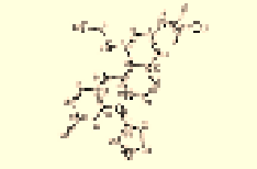 CS(C)(=O)=Nc1cc(SCF)c2c(Nc3ccc(F)cc3O[C@H]3CCOC3)ncnc2c1